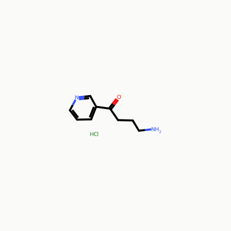 Cl.NCCCC(=O)c1cccnc1